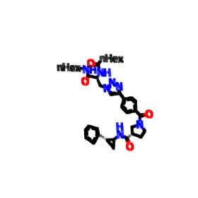 CCCCCCNC(=O)[C@H](Cn1cc(-c2ccc(C(=O)N3CC[C@H](C(=O)N[C@H]4C[C@@H]4c4ccccc4)C3)cc2)nn1)NC(=O)CCCCCC